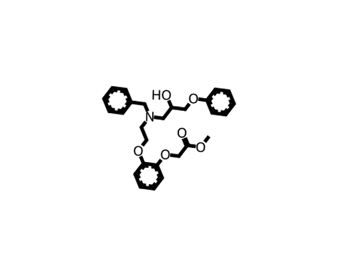 COC(=O)COc1ccccc1OCCN(Cc1ccccc1)CC(O)COc1ccccc1